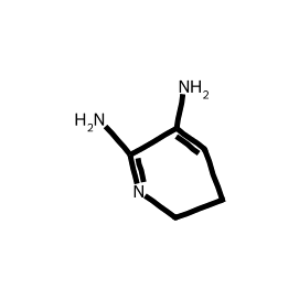 NC1=CCCN=C1N